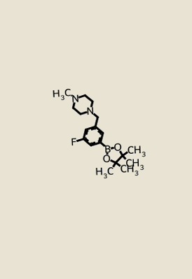 CN1CCN(Cc2cc(F)cc(B3OC(C)(C)C(C)(C)O3)c2)CC1